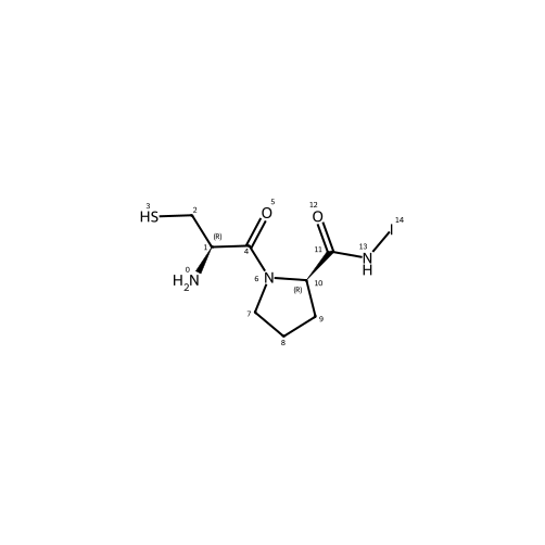 N[C@@H](CS)C(=O)N1CCC[C@@H]1C(=O)NI